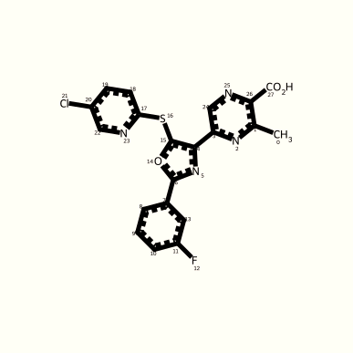 Cc1nc(-c2nc(-c3cccc(F)c3)oc2Sc2ccc(Cl)cn2)cnc1C(=O)O